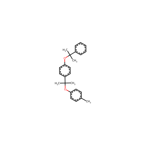 Cc1ccc(OC(C)(C)c2ccc(OC(C)(C)c3ccccc3)cc2)cc1